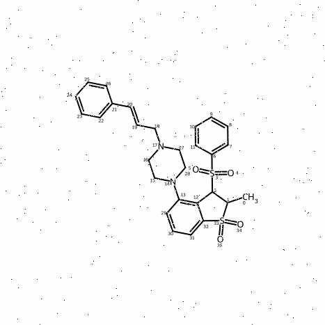 CC1C(S(=O)(=O)c2ccccc2)c2c(N3CCN(CC=Cc4ccccc4)CC3)cccc2S1(=O)=O